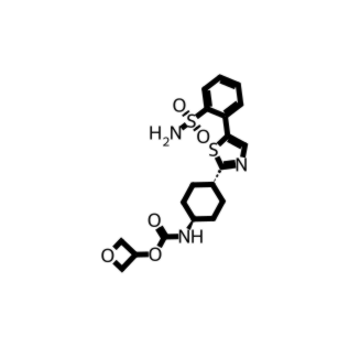 NS(=O)(=O)c1ccccc1-c1cnc([C@H]2CC[C@H](NC(=O)OC3COC3)CC2)s1